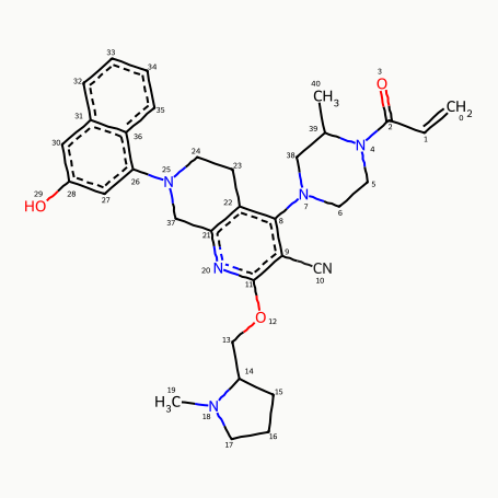 C=CC(=O)N1CCN(c2c(C#N)c(OCC3CCCN3C)nc3c2CCN(c2cc(O)cc4ccccc24)C3)CC1C